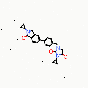 O=C1c2ccc(-c3ccc(CN4CC(=O)N(C5CC5)C4=O)cc3)cc2CN1C1CC1